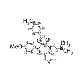 COc1ccc(C2Sc3ccccc3N(CCN(C)C)C(=O)C2OCc2ccc(C)cc2)cc1